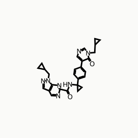 O=C(NC1(c2ccc(-c3cncn(CC4CC4)c3=O)cc2)CC1)c1ncc2cnn(CC3CC3)c2n1